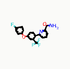 NC(=O)c1cccc(-c2ccc(Oc3ccc(F)cc3)cc2C(F)(F)F)n1